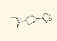 [CH2]/C=C(\F)c1ccc(-c2ccon2)cc1